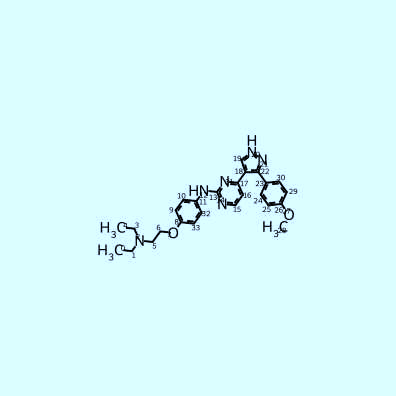 CCN(CC)CCOc1ccc(Nc2nccc(-c3c[nH]nc3-c3ccc(OC)cc3)n2)cc1